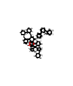 c1ccc2c(c1)Cc1ccccc1-c1c(cc(N(c3ccc(-c4cccc5c4oc4ccccc45)cc3)c3cccc4c3-c3ccccc3C43c4ccccc4-n4c5ccccc5c5cccc3c54)c3ccccc13)Cc1ccccc1-2